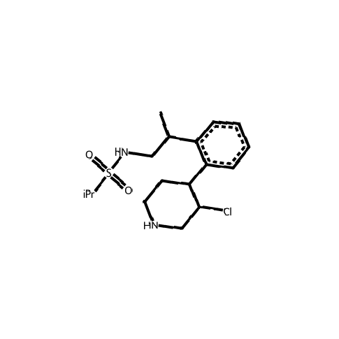 CC(CNS(=O)(=O)C(C)C)c1ccccc1C1CCNCC1Cl